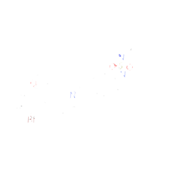 CCN(C1CCC(CCN2CCC(Cc3cc(OC(C)C)ccc3Br)CC2)CC1)S(=O)(=O)N(C)C